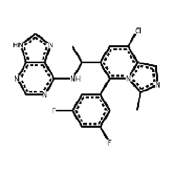 Cc1ncc2c(Cl)cc(C(C)Nc3ncnc4[nH]cnc34)c(-c3cc(F)cc(F)c3)n12